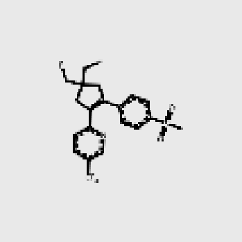 CS(=O)(=O)c1ccc(C2=C(c3ccc(C(F)(F)F)cn3)CC(CF)(CF)C2)cc1